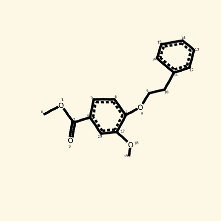 COC(=O)c1ccc(OCCc2ccccc2)c(OC)c1